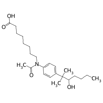 CCCCC(O)C(C)(C)c1ccc(N(CCCCCCCC(=O)O)C(C)=O)cc1